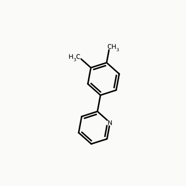 Cc1ccc(-c2ccccn2)cc1C